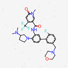 CN(C)C1CCN(c2ccc(-c3cc(CN4CCOCC4)ccc3F)cc2NC(=O)c2cn(C)c(=O)cc2C(F)(F)F)C1